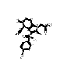 Cc1c(S(=O)(=O)c2ccc(Cl)cc2)c2c(n1CC(=O)O)C=CC(Cl)C2C#N